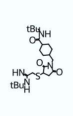 CC(C)(C)NC(=N)CSC1CC(=O)N(CC2CCC(C(=O)NC(C)(C)C)CC2)C1=O